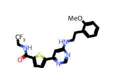 COc1ccccc1CCNc1cc(-c2ccc(C(=O)NCC(F)(F)F)s2)ncn1